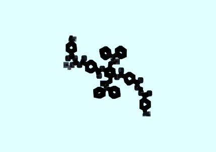 CC(=O)C1CCC(C(=O)OCOC(=O)C2CCC(C(=O)Oc3cc(CNN(c4ccccc4)c4ccccc4)c(OC(=O)C4CCC(C(=O)OC(C)OC(=O)C5CCC(C(C)=O)CC5)CC4)cc3CNN(c3ccccc3)c3ccccc3)CC2)CC1